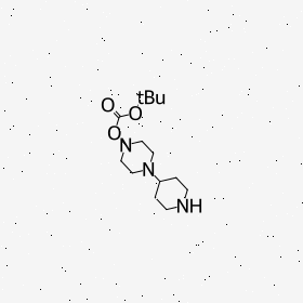 CC(C)(C)OC(=O)ON1CCN(C2CCNCC2)CC1